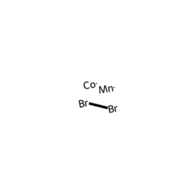 BrBr.[Co].[Mn]